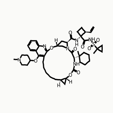 C=C[C@@H]1CC[C@]1(NC(=O)[C@@H]1C[C@@H]2CN1C(=O)[C@H](C1(C)CCCCC1)NC(=O)O[C@@H]1C[C@H]1CCCCCc1c(nc3ccccc3c1OC1CCN(C)CC1)O2)C(=O)NS(=O)(=O)C1(C)CC1